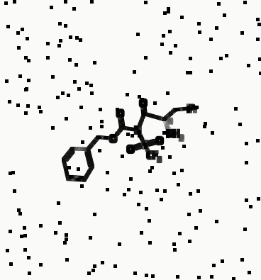 CC(C)C[C@H](N)C(=O)N(C(=O)OCc1ccccc1)S(=O)(=O)C(F)(F)F